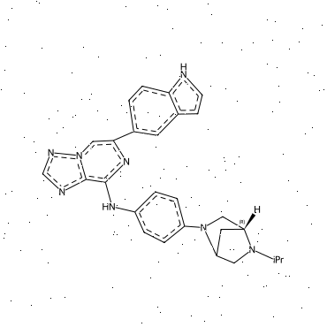 CC(C)N1CC2C[C@@H]1CN2c1ccc(Nc2nc(-c3ccc4[nH]ccc4c3)cn3ncnc23)cc1